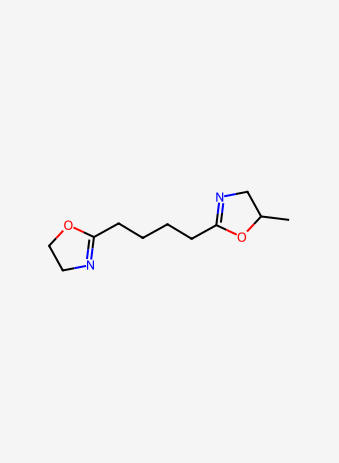 CC1CN=C(CCCCC2=NCCO2)O1